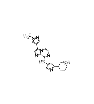 Cn1cc(-c2cnc3c(Nc4cc(C5CCCNC5)ns4)nccn23)cn1